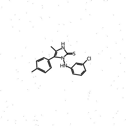 Cc1ccc(-c2c(C)[nH]c(=S)n2Nc2cccc(Cl)c2)cc1